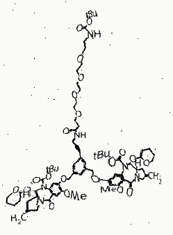 C=C1C[C@H]2C(OC3CCCCO3)N(C(=O)OC(C)(C)C)c3cc(OCc4cc(C#CCNC(=O)CCOCCOCCOCCOCCNC(=O)OC(C)(C)C)cc(COc5cc6c(cc5OC)C(=O)N5CC(=C)C[C@H]5[C@H](OC5CCCCO5)N6C(=O)OC(C)(C)C)c4)c(OC)cc3C(=O)N2C1